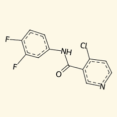 O=C(Nc1ccc(F)c(F)c1)c1cnccc1Cl